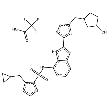 O=C(O)C(F)(F)F.O=S(=O)(Nc1cccc2cc(-c3ncc(CN4CCC(O)C4)s3)[nH]c12)c1sccc1CC1CC1